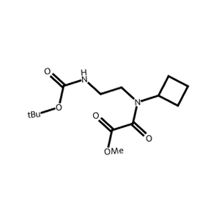 COC(=O)C(=O)N(CCNC(=O)OC(C)(C)C)C1CCC1